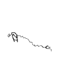 CCCCCCCCCCCCCCCCCc1ccc(C=O)[nH]1